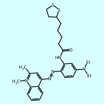 CCN(CC)c1ccc(/N=N/c2cc(C)[n+](C)c3ccccc23)c(NC(=O)CCCCC2CCSS2)c1